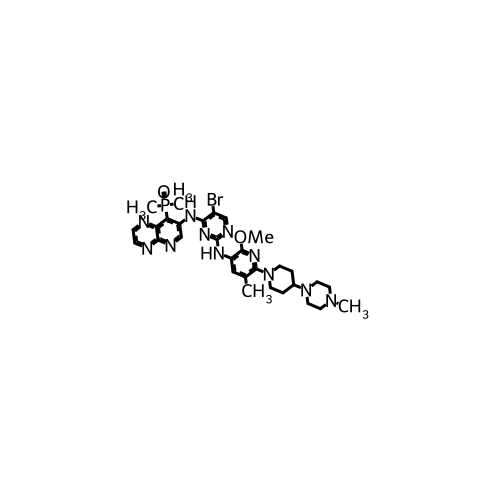 COc1nc(N2CCC(N3CCN(C)CC3)CC2)c(C)cc1Nc1ncc(Br)c(Nc2cnc3nccnc3c2P(C)(C)=O)n1